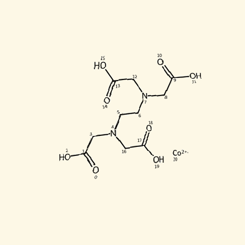 O=C(O)CN(CCN(CC(=O)O)CC(=O)O)CC(=O)O.[Co+2]